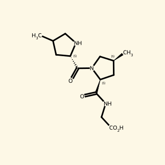 CC1CN[C@H](C(=O)N2C[C@@H](C)C[C@H]2C(=O)NCC(=O)O)C1